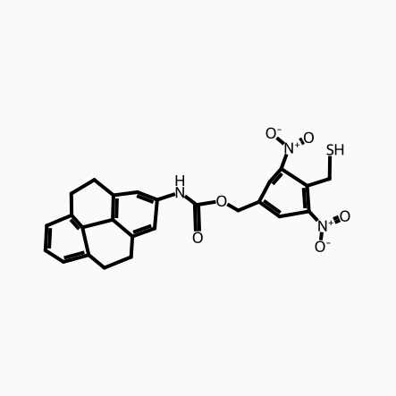 O=C(Nc1cc2c3c(c1)CCc1cccc(c1-3)CC2)OCc1cc([N+](=O)[O-])c(CS)c([N+](=O)[O-])c1